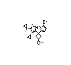 CC1(c2nnc([C@]3(c4ccc(Br)s4)C[C@H](O)C3)n2C2CC2)CC1